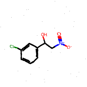 O=[N+]([O-])CC(O)c1cccc(Cl)c1